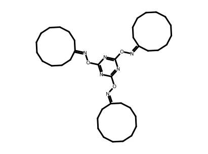 C1CCCCCC(=NOc2nc(ON=C3CCCCCCCCCCC3)nc(ON=C3CCCCCCCCCCC3)n2)CCCCC1